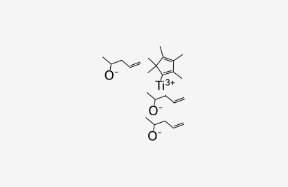 C=CCC(C)[O-].C=CCC(C)[O-].C=CCC(C)[O-].CC1=C(C)C(C)(C)[C]([Ti+3])=C1C